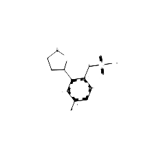 O=S(=O)(O)Cc1ccc(Cl)cc1C1CCCO1